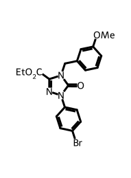 CCOC(=O)c1nn(-c2ccc(Br)cc2)c(=O)n1Cc1cccc(OC)c1